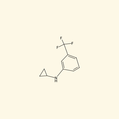 FC(F)(F)c1cccc(NC2CC2)c1